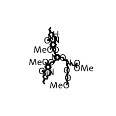 C/C=C1\CC2C=Nc3cc(OCc4cc(OCCN(CCOCCOCCOC)CCC(=O)OC)cc(COc5cc6c(cc5OC)C(=O)N5C/C(=C/C)C[C@H]5C=N6)n4)c(OC)cc3C(=O)N2C1